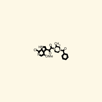 COc1cnc(Cl)c2[nH]cc(C(=O)C(=O)N3CCN(C(=O)c4ccccc4)CC3C)c12